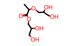 CC(OCC(O)CO)C(=O)OCC(O)CO